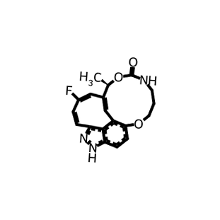 C[C@H]1OC(=O)NCCCOc2ccc3[nH]nc4c3c2C=C1C=C(F)C=C4